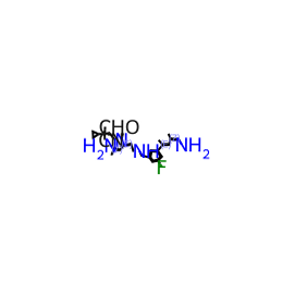 C/C(N)=C/C(=C\CNCc1cc(F)cc(/C(C)=C/C(C)=C\N)c1)N(C)CCC(C#N)(C=O)C1CC1